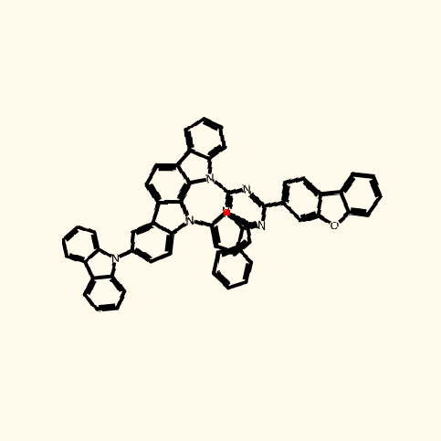 c1ccc(-c2nc(-c3ccc4c(c3)oc3ccccc34)nc(-n3c4ccccc4c4ccc5c6cc(-n7c8ccccc8c8ccccc87)ccc6n(-c6ccccc6)c5c43)n2)cc1